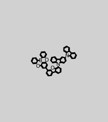 c1ccc2c(c1)Oc1cc(-c3cccc4c3oc3c(-n5c6ccccc6c6cc(-n7c8ccccc8c8ccccc87)ccc65)cccc34)cc3c1B2c1ccccc1O3